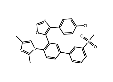 Cc1cn(-c2ccc(-c3cccc(S(C)(=O)=O)c3)cc2-c2ocnc2-c2ccc(Cl)cc2)c(C)n1